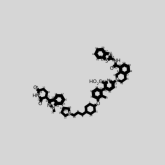 Cc1c(OC2CCC(CCCN3CC[C@H](c4cccc5c(C6CCC(=O)NC6=O)nn(C)c45)C3)CC2)cccc1-c1ccc(N2CCc3cccc(C(=O)Nc4nc5ccccc5s4)c3C2)nc1C(=O)O